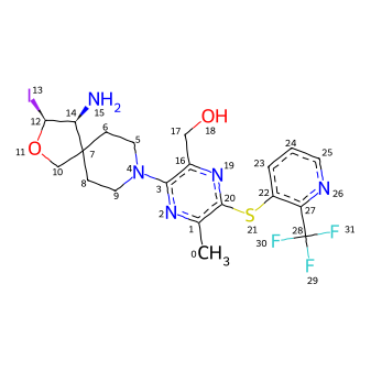 Cc1nc(N2CCC3(CC2)CO[C@@H](I)[C@H]3N)c(CO)nc1Sc1cccnc1C(F)(F)F